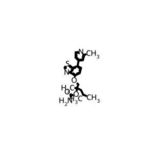 Cc1cc(-c2ccc(OCC(C)(CC(C)C)OC(N)=O)c3ncsc23)ccn1